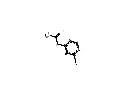 CC(=O)Cc1ccnc(F)c1